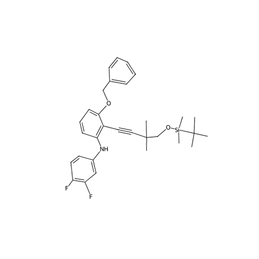 CC(C)(C#Cc1c(Nc2ccc(F)c(F)c2)cccc1OCc1ccccc1)CO[Si](C)(C)C(C)(C)C